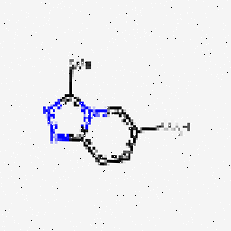 CSc1nnc2ccc(C(=O)O)cn12